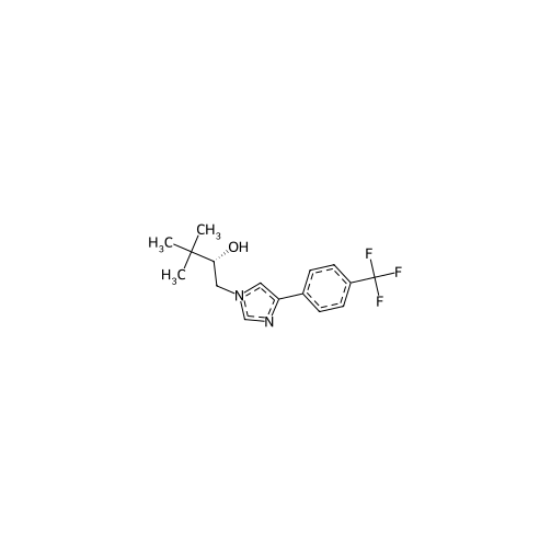 CC(C)(C)[C@H](O)Cn1cnc(-c2ccc(C(F)(F)F)cc2)c1